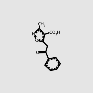 Cc1noc(CC(=O)c2ccccc2)c1C(=O)O